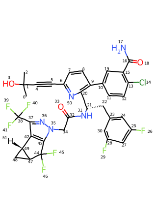 CC(C)(O)C#Cc1ccc(-c2ccc(Cl)c(C(N)=O)c2)c([C@H](Cc2cc(F)cc(F)c2)NC(=O)Cn2nc(C(F)(F)F)c3c2C(F)(F)C2C[C@H]32)n1